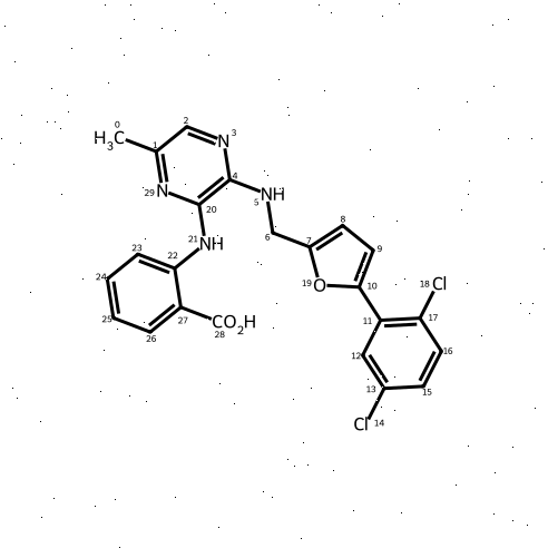 Cc1cnc(NCc2ccc(-c3cc(Cl)ccc3Cl)o2)c(Nc2ccccc2C(=O)O)n1